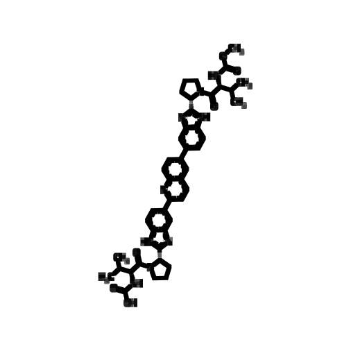 COC(=O)N[C@H](C(=O)N1CCC[C@H]1c1nc2cc(-c3ccc4nc(-c5ccc6[nH]c([C@@H]7CCCN7C(=O)[C@@H](NC(=O)O)C(C)C)nc6c5)ccc4c3)ccc2[nH]1)C(C)C